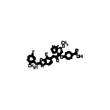 CON(C)CC(OC1CCC(C(=O)O)CC1)(C(=O)Cc1ccc2nc(Nc3cc(F)ccc3C)oc2c1F)N1CCCC1